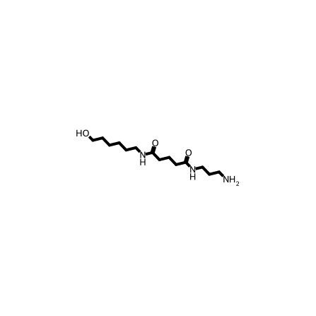 NCCCNC(=O)CCCC(=O)NCCCCCCO